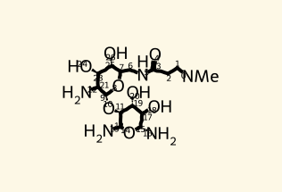 CNCCC(=O)NCC1O[C@H](O[C@@H]2C(N)O[C@@H](N)C(O)[C@H]2O)C(N)[C@@H](O)[C@@H]1O